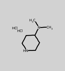 CN(C)C1CCNCC1.Cl.Cl